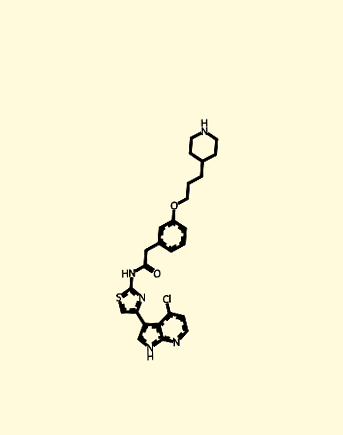 O=C(Cc1cccc(OCCCC2CCNCC2)c1)Nc1nc(-c2c[nH]c3nccc(Cl)c23)cs1